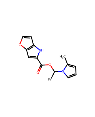 Cc1cccn1C(OC(=O)c1cc2occc2[nH]1)C(C)C